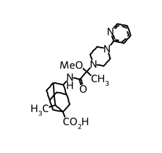 COC(C)(C(=O)NC1C2CC3CC1C(C)C(C(=O)O)(C3)C2)N1CCN(c2ccccn2)CC1